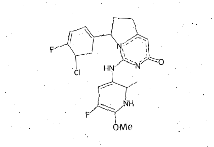 COC1=C(F)C=C(Nc2nc(=O)cc3n2C(C2=CC=C(F)C(Cl)C2)CC3)C(C)N1